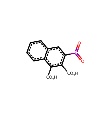 O=C(O)c1c(I(=O)=O)cc2ccccc2c1C(=O)O